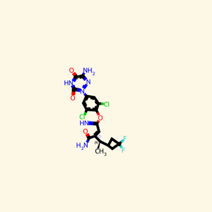 C[C@@H](/C(=C/C(=N)Oc1c(Cl)cc(-n2nc(N)c(=O)[nH]c2=O)cc1Cl)C(N)=O)C1CC(F)(F)C1